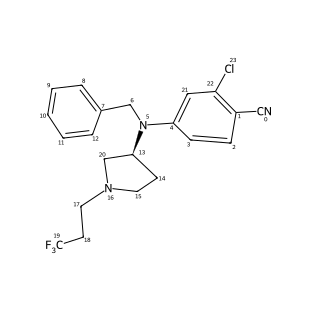 N#Cc1ccc(N(Cc2ccccc2)[C@H]2CCN(CCC(F)(F)F)C2)cc1Cl